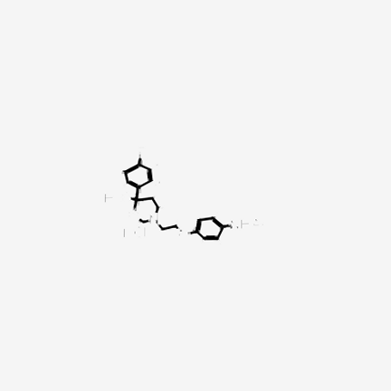 CC(=O)Nc1ccc(OCCN2CCC(C)(c3ccc(F)cc3)OC2)cc1.Cl